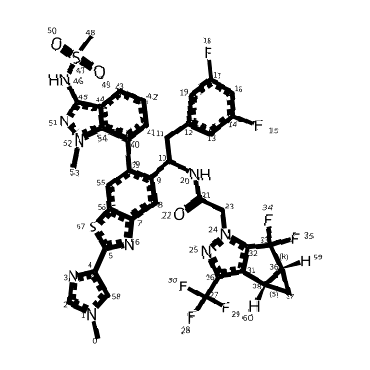 Cn1cnc(-c2nc3cc(C(Cc4cc(F)cc(F)c4)NC(=O)Cn4nc(C(F)(F)F)c5c4C(F)(F)[C@@H]4C[C@H]54)c(-c4cccc5c(NS(C)(=O)=O)nn(C)c45)cc3s2)c1